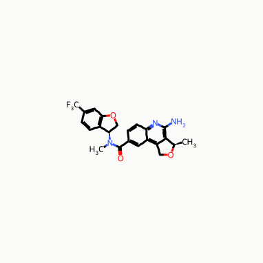 C[C@H]1OCc2c1c(N)nc1ccc(C(=O)N(C)[C@@H]3COc4cc(C(F)(F)F)ccc43)cc21